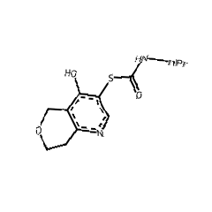 CCCNC(=O)Sc1cnc2c(c1O)COCC2